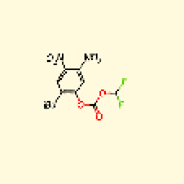 CCC(C)c1cc([N+](=O)[O-])c([N+](=O)[O-])cc1OC(=O)OC(F)F